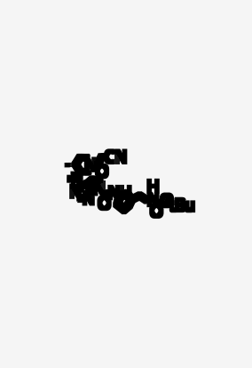 C[C@@H]1CCN(C(=O)CC#N)C[C@@H]1N(C)c1ncnc2c1ccn2C(=O)Nc1cccc(CCNC(=O)OC(C)(C)C)c1